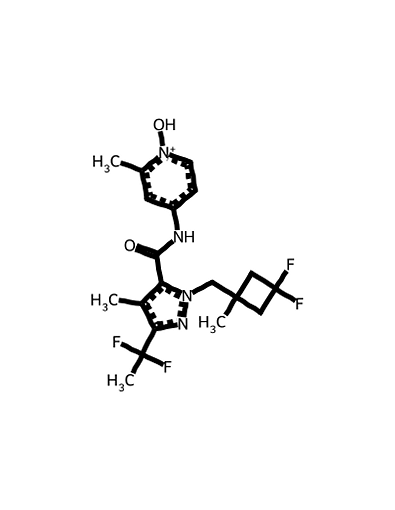 Cc1c(C(C)(F)F)nn(CC2(C)CC(F)(F)C2)c1C(=O)Nc1cc[n+](O)c(C)c1